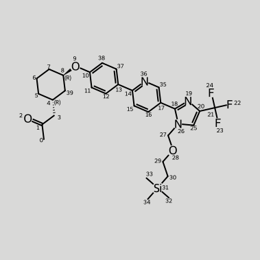 CC(=O)C[C@@H]1CCC[C@@H](Oc2ccc(-c3ccc(-c4nc(C(F)(F)F)cn4COCC[Si](C)(C)C)cn3)cc2)C1